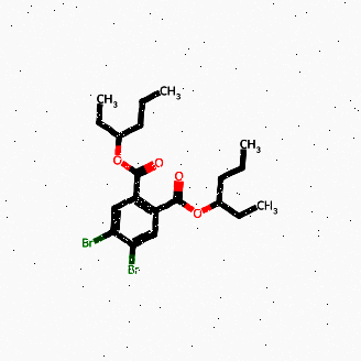 CCCC(CC)OC(=O)c1cc(Br)c(Br)cc1C(=O)OC(CC)CCC